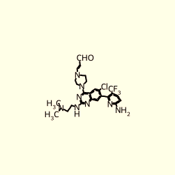 CN(C)CCNc1nc(N2CCN(C=CC=O)CC2)c2cc(Cl)c(-c3nc(N)ccc3C(F)(F)F)cc2n1